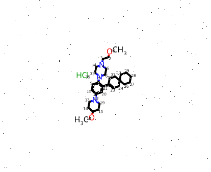 COCCN1CCN(c2ccc(N3CCC(OC)CC3)cc2C2=CCC3(CCCCC3)CC2)CC1.Cl